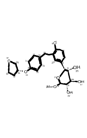 COC1O[C@@H](c2ccc(Cl)c(Cc3ccc(O[C@@H]4CCOC4)cc3)c2)[C@H](O)[C@@H](O)[C@@H]1O